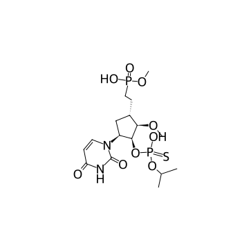 CO[C@@H]1[C@@H](CCP(=O)(O)OC)C[C@H](n2ccc(=O)[nH]c2=O)[C@@H]1OP(O)(=S)OC(C)C